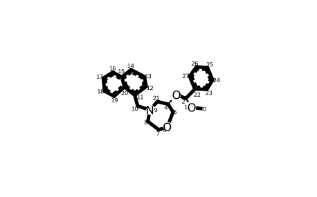 CO[C@H](O[C@@H]1COCCN(Cc2cccc3ccccc23)C1)c1ccccc1